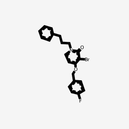 O=c1c(Br)c(OCc2ccc(F)cc2)ccn1CCCc1ccccc1